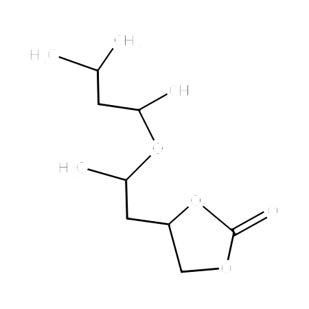 CC(C)CC(C)OC(C)CC1COC(=O)O1